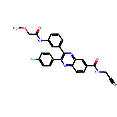 C#CCNC(=O)c1ccc2nc(-c3ccc(F)cc3)c(-c3cccc(NC(=O)COC)c3)nc2c1